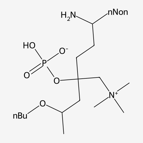 CCCCCCCCCC(N)CCC(CC(C)OCCCC)(C[N+](C)(C)C)OP(=O)([O-])O